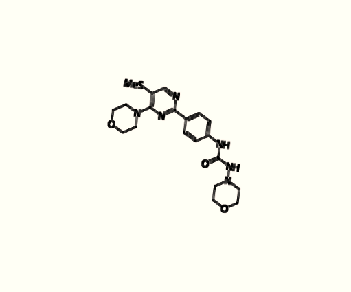 CSc1cnc(-c2ccc(NC(=O)NN3CCOCC3)cc2)nc1N1CCOCC1